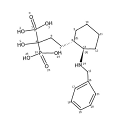 O=P(O)(O)C(O)(CC[C@@H]1CCCC[C@H]1NCc1ccccc1)P(=O)(O)O